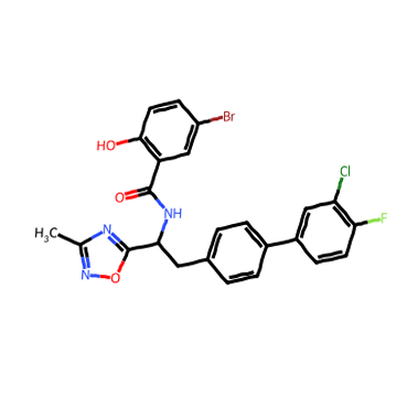 Cc1noc(C(Cc2ccc(-c3ccc(F)c(Cl)c3)cc2)NC(=O)c2cc(Br)ccc2O)n1